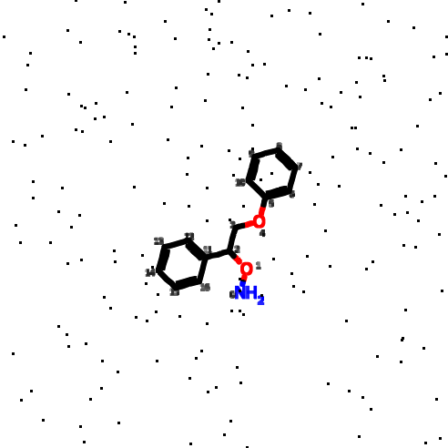 NOC(COc1ccccc1)c1ccccc1